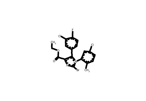 CCOC(=O)c1nc(Br)n(-c2cc(Cl)ccc2C)c1-c1ccc(F)c(Cl)c1